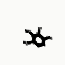 CC(=O)c1ccc(N)c(C#N)c1F